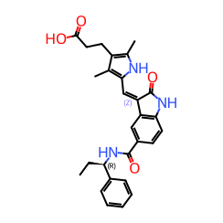 CC[C@@H](NC(=O)c1ccc2c(c1)/C(=C/c1[nH]c(C)c(CCC(=O)O)c1C)C(=O)N2)c1ccccc1